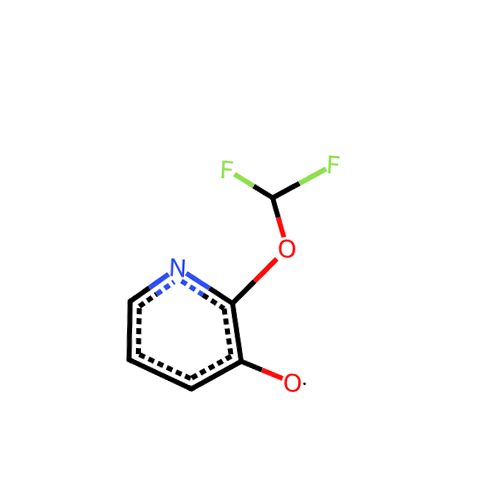 [O]c1cccnc1OC(F)F